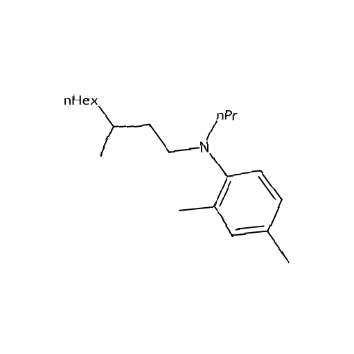 CCCCCCC(C)CCN(CCC)c1ccc(C)cc1C